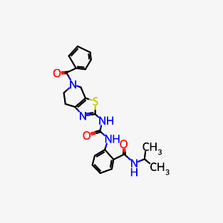 CC(C)NC(=O)c1ccccc1NC(=O)Nc1nc2c(s1)CN(C(=O)c1ccccc1)CC2